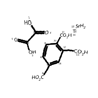 O=C(O)C(=O)O.O=C(O)c1ccc(C(=O)O)c(C(=O)O)c1.[SrH2].[Ti]